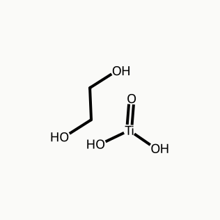 OCCO.[O]=[Ti]([OH])[OH]